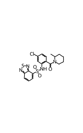 CC1CCCCN1C(=O)c1ccc(Cl)cc1NS(=O)(=O)c1cccc2nsnc12